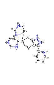 C1=CC(c2ccncn2)(c2ccncn2)Cc2[nH]nc(-c3ccccn3)c21